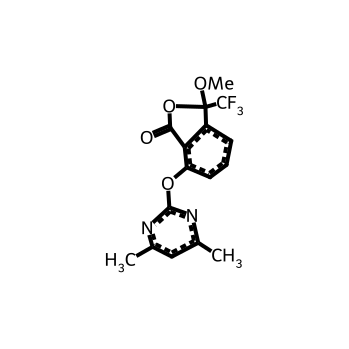 COC1(C(F)(F)F)OC(=O)c2c(Oc3nc(C)cc(C)n3)cccc21